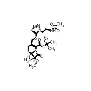 CO[C@@]1(N)C(=O)N2C(C(=O)OC(C)(C)C)=C(CSc3nnnn3CCNS(C)(=O)=O)CS[C@@H]21